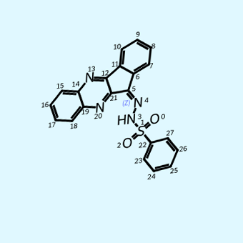 O=S(=O)(N/N=C1/c2ccccc2-c2nc3ccccc3nc21)c1ccccc1